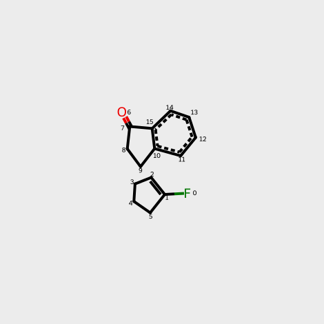 FC1=CCCC1.O=C1CCc2ccccc21